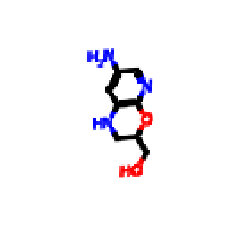 Nc1cnc2c(c1)NCC(CO)O2